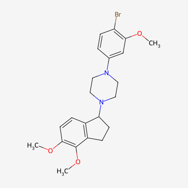 COc1cc(N2CCN(C3CCc4c3ccc(OC)c4OC)CC2)ccc1Br